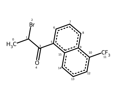 CC(Br)C(=O)c1cccc2c(C(F)(F)F)cccc12